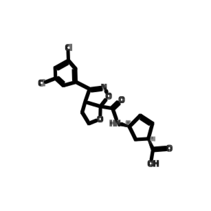 O=C(O)[C@@H]1C=C[C@H](NC(=O)C23OCCC2C(c2cc(Cl)cc(Cl)c2)=NO3)C1